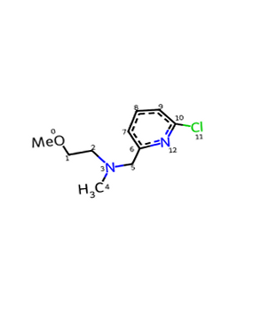 COCCN(C)Cc1cccc(Cl)n1